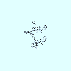 CCC(NC(=N)N)[C@@H]1N[C@H](CNC(=O)c2ccc3ccccc3c2)CCN(CCC2CC3CCC2C3)C1=O.N=C(N)NCCC[C@@H]1N[C@H](CNC(=O)c2ccc3ccccc3c2)CCN(CCC2CCCCC2)C1=O